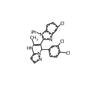 CC1=C(c2nc3cc(Cl)ccc3n2C(C)C)C(c2ccc(Cl)c(Cl)c2)n2nccc2N1